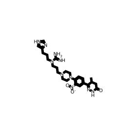 CC1CC(=O)NN=C1c1ccc(N2CCN(CCCN(CCCc3c[nH]cn3)C(=N)N)CC2)c([N+](=O)[O-])c1